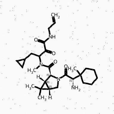 C=CCNC(=O)C(=O)C(CC1CC1)N(C)C(=O)[C@@H]1[C@@H]2[C@H](CN1C(=O)[C@@H](N)C1(C)CCCCC1)C2(C)C